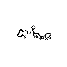 O=C(OCc1ccccc1F)c1cc(-c2ccsn2)[nH]n1